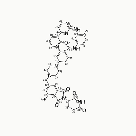 Cc1ccc(NC(=O)c2ccc(N3CCN(Cc4cc(F)c5c(c4)C(=O)N(C4CCC(=O)NC4=O)C5=O)CC3)cc2)cc1Nc1nccc(-c2cccnc2)n1